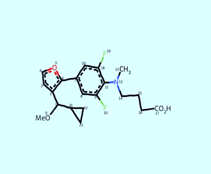 COC(c1ccoc1-c1cc(F)c(N(C)CCCC(=O)O)c(F)c1)C1CC1